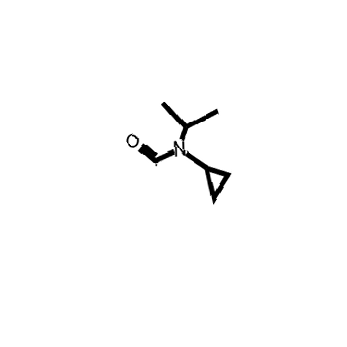 CC(C)N([C]=O)C1CC1